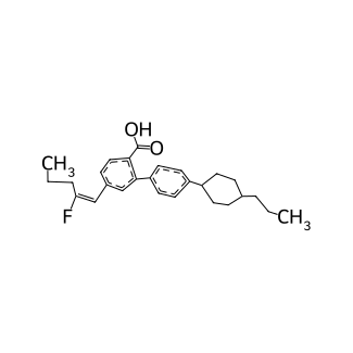 CCC/C(F)=C\c1ccc(C(=O)O)c(-c2ccc(C3CCC(CCC)CC3)cc2)c1